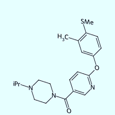 CSc1ccc(Oc2ccc(C(=O)N3CCN(C(C)C)CC3)cn2)cc1C